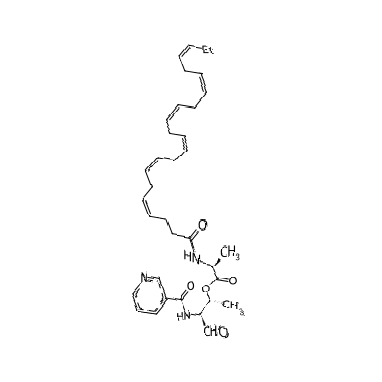 CC/C=C\C/C=C\C/C=C\C/C=C\C/C=C\C/C=C\CCC(=O)N[C@@H](C)C(=O)O[C@H](C)[C@@H](C=O)NC(=O)c1cccnc1